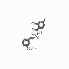 COc1cccc(C=CS(=O)(=O)NC(=O)c2ccc(F)cc2Cl)c1